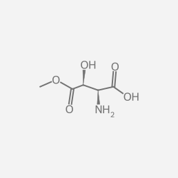 COC(=O)[C@@H](O)[C@H](N)C(=O)O